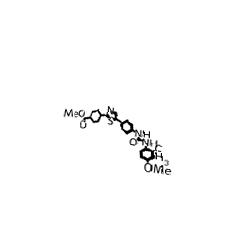 COC(=O)C1CCC(c2ncc(-c3ccc(NC(=O)Nc4ccc(OC)cc4C)cc3)s2)CC1